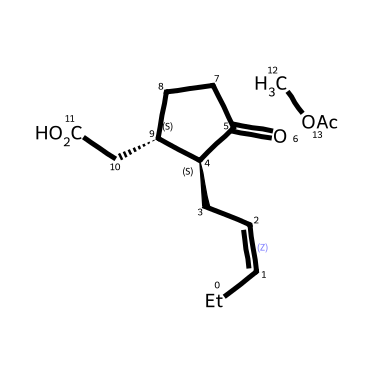 CC/C=C\C[C@@H]1C(=O)CC[C@H]1CC(=O)O.COC(C)=O